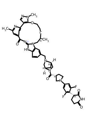 Cc1cc2cc(n1)-c1cnn(C)c1OCCC[C@@H](C)CN1/C(=N/C2=O)Nc2ccc(CN3C[C@H]4C[C@@H]3CN4C(=O)[C@@H]3CCN(c4cc(F)c([C@H]5CCC(=O)NC5=O)c(F)c4)C3)cc21